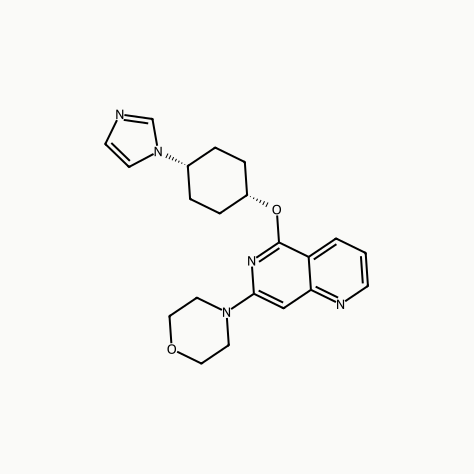 c1cnc2cc(N3CCOCC3)nc(O[C@H]3CC[C@@H](n4ccnc4)CC3)c2c1